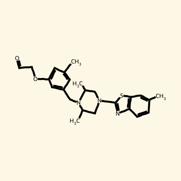 Cc1cc(CN2C(C)CN(c3nc4ccc(C)cc4s3)CC2C)cc(OCC=O)c1